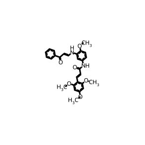 COc1cc(OC)c(C=CC(=O)Nc2ccc(OC)c(NC=CC(=O)c3ccccc3)c2)c(OC)c1